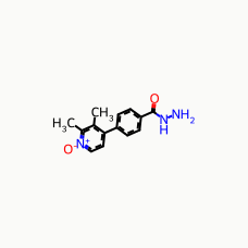 Cc1c(-c2ccc(C(=O)NN)cc2)cc[n+]([O-])c1C